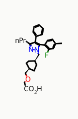 CCCc1nn(C[C@H]2CC[C@@H](COCC(=O)O)CC2)c(-c2ccc(C)cc2F)c1-c1ccccc1